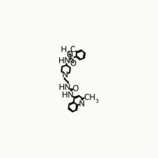 Cc1cc(NC(=O)NCCN2CCC(NS(=O)(=O)c3ccccc3C)CC2)c2ccccc2n1